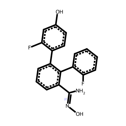 N/C(=N\O)c1cccc(-c2ccc(O)cc2F)c1-c1ccccc1F